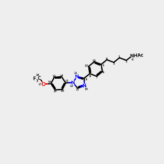 CC(=O)NCCCCc1ccc(-c2ncn(-c3ccc(OC(F)(F)F)cc3)n2)cc1